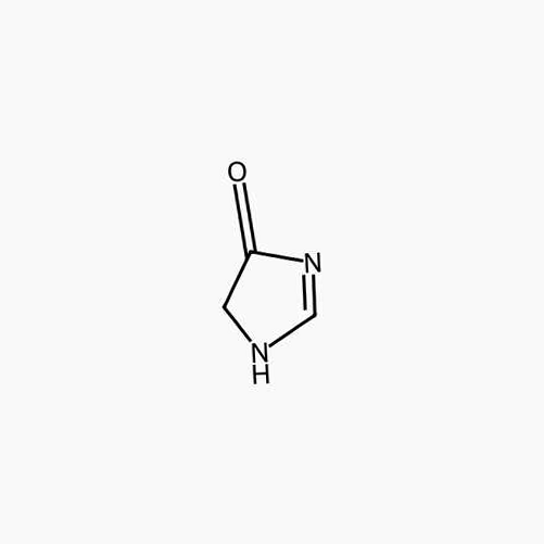 O=C1CNC=N1